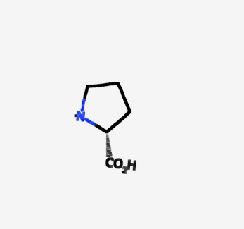 O=C(O)[C@H]1CCC[N]1